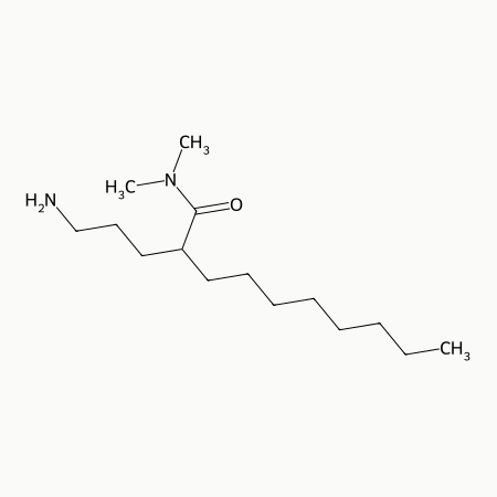 CCCCCCCCC(CCCN)C(=O)N(C)C